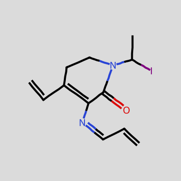 C=C/C=N\C1=C(C=C)CCN(C(C)I)C1=O